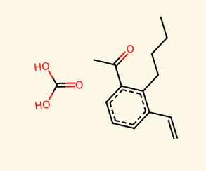 C=Cc1cccc(C(C)=O)c1CCCC.O=C(O)O